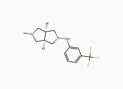 CN1C[C@@H]2CN(Nc3cccc(C(F)(F)F)c3)C[C@@H]2C1